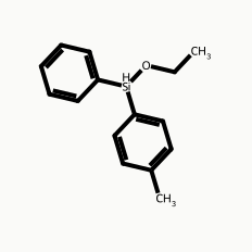 CCO[SiH](c1ccccc1)c1ccc(C)cc1